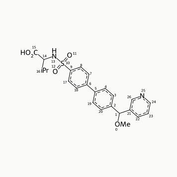 COC(c1ccc(-c2ccc(S(=O)(=O)NC(C(=O)O)C(C)C)cc2)cc1)c1cccnc1